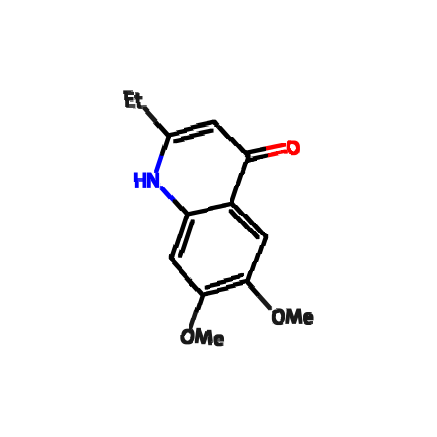 CCc1cc(=O)c2cc(OC)c(OC)cc2[nH]1